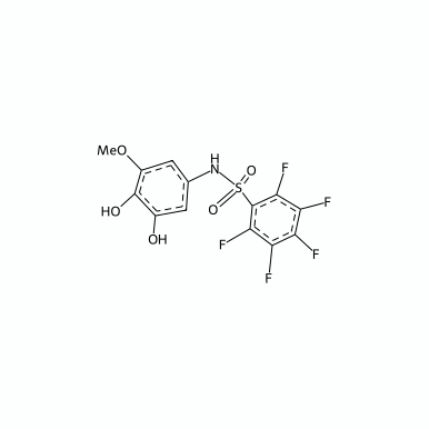 COc1cc(NS(=O)(=O)c2c(F)c(F)c(F)c(F)c2F)cc(O)c1O